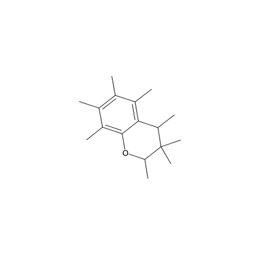 Cc1c(C)c(C)c2c(c1C)OC(C)C(C)(C)C2C